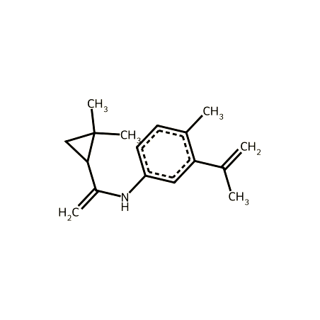 C=C(C)c1cc(NC(=C)C2CC2(C)C)ccc1C